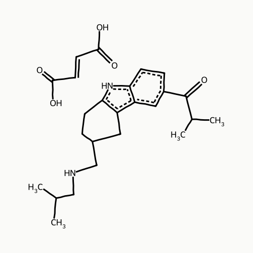 CC(C)CNCC1CCc2[nH]c3ccc(C(=O)C(C)C)cc3c2C1.O=C(O)C=CC(=O)O